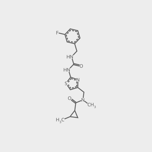 CC1CC1C(=O)N(C)Cc1csc(NC(=O)NCc2cccc(F)c2)n1